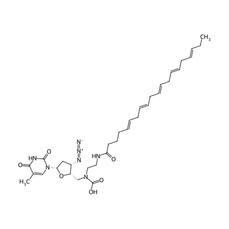 CCC=CCC=CCC=CCC=CCC=CCCCC(=O)NCCN(C[C@@H]1O[C@H](n2cc(C)c(=O)[nH]c2=O)C[C@@H]1N=[N+]=[N-])C(=O)O